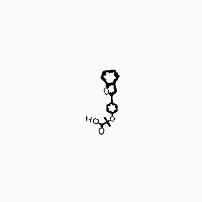 CC(C)(Oc1ccc(-c2cc3ccccc3o2)cc1)C(=O)O